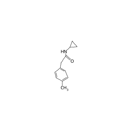 Cc1ccc(CC(=O)NC2CC2)cc1